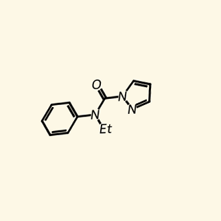 CCN(C(=O)n1cccn1)c1ccccc1